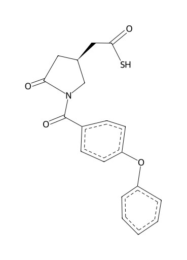 O=C(S)C[C@@H]1CC(=O)N(C(=O)c2ccc(Oc3ccccc3)cc2)C1